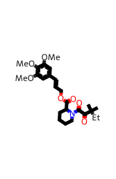 CCC(C)(C)C(=O)C(=O)N1CCCCC1C(=O)OCC=Cc1cc(OC)c(OC)c(OC)c1